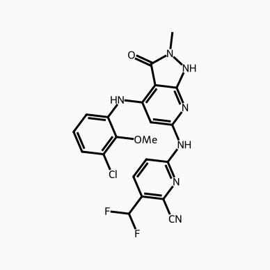 COc1c(Cl)cccc1Nc1cc(Nc2ccc(C(F)F)c(C#N)n2)nc2[nH]n(C)c(=O)c12